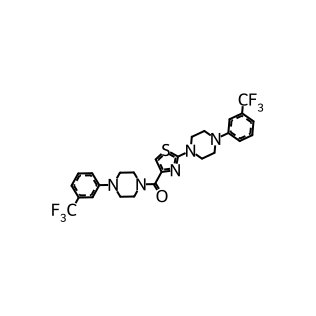 O=C(c1csc(N2CCN(c3cccc(C(F)(F)F)c3)CC2)n1)N1CCN(c2cccc(C(F)(F)F)c2)CC1